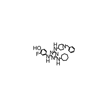 Oc1ccc(Nc2nc(NC3CCCCCC3)nc(NC3CCN(Cc4ccccc4)CC3)n2)cc1F